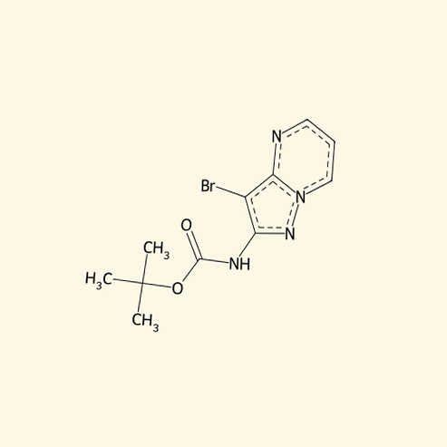 CC(C)(C)OC(=O)Nc1nn2cccnc2c1Br